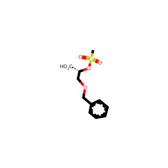 CS(=O)(=O)O[C@H](COCc1ccccc1)C(=O)O